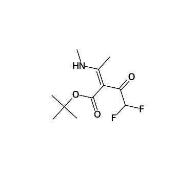 CN/C(C)=C(\C(=O)OC(C)(C)C)C(=O)C(F)F